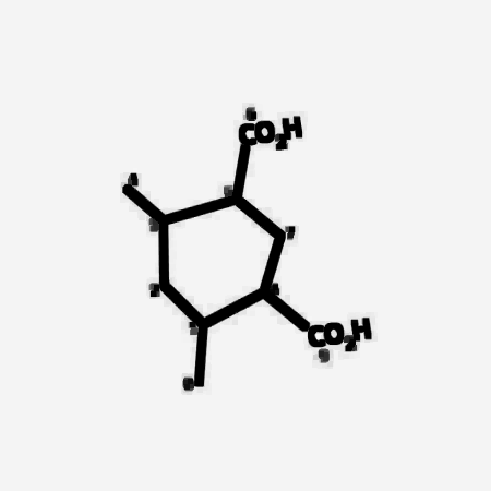 CC1CC(C)C(C(=O)O)CC1C(=O)O